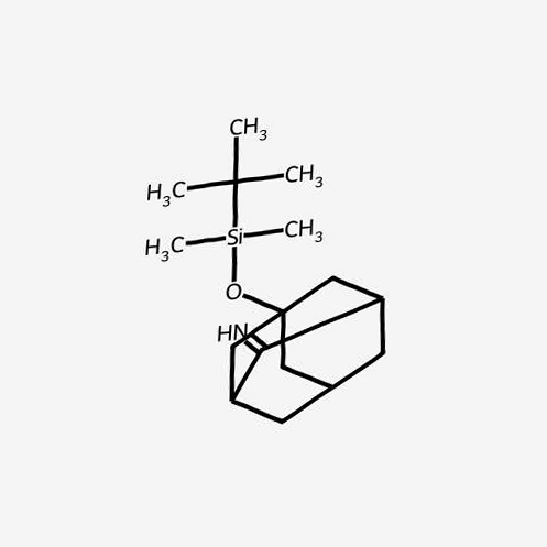 CC(C)(C)[Si](C)(C)OC12CC3CC(C1)C(=N)C(C3)C2